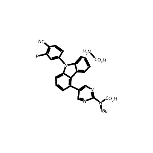 CC(C)(C)N(C(=O)O)c1ncc(-c2cccc3c2c2ccccc2n3-c2ccc(C#N)c(F)c2)cn1.NC(=O)O